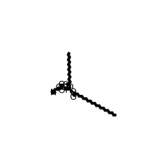 CCCCCCCCCCCCCCCCCCCC(=O)OC[C@H](COP(=O)(O)OCC[N+](C)(C)C)OC(=O)CCCCCCCCCCCCC